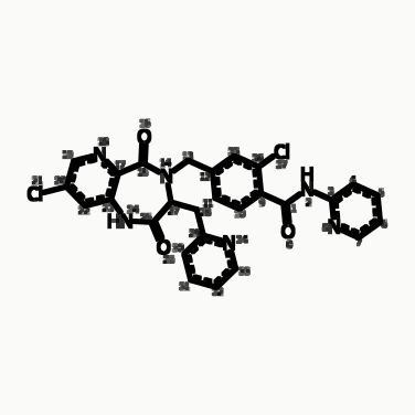 O=C(Nc1ccccn1)c1ccc(CN2C(=O)c3ncc(Cl)cc3NC(=O)C2Cc2ccccn2)cc1Cl